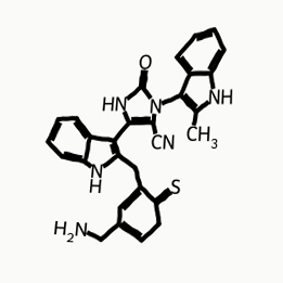 Cc1[nH]c2ccccc2c1-n1c(C#N)c(-c2c(CC3=CC(CN)=CCC3=S)[nH]c3ccccc23)[nH]c1=O